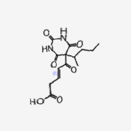 CCCC(C)C1(C(=O)/C=C/CC(=O)O)C(=O)NC(=O)NC1=O